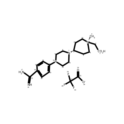 C[N@+]1(CC(=O)O)CC[C@H](N2CCN(c3ccc(C(=N)N)cc3)CC2)CC1.O=C([O-])C(F)(F)F